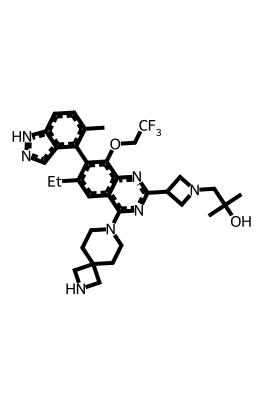 CCc1cc2c(N3CCC4(CC3)CNC4)nc(C3CN(CC(C)(C)O)C3)nc2c(OCC(F)(F)F)c1-c1c(C)ccc2[nH]ncc12